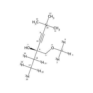 [2H]C([2H])([2H])OC[C@@](O)(C#C[Si](C)(C)C)C([2H])([2H])C([2H])([2H])[2H]